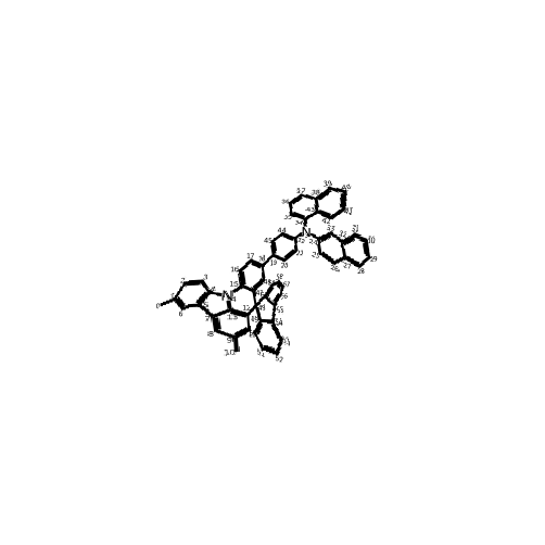 Cc1ccc2c(c1)c1cc(C)cc3c1n2-c1ccc(-c2ccc(N(c4ccc5ccccc5c4)c4cccc5ccccc45)cc2)cc1C31c2ccccc2-c2ccccc21